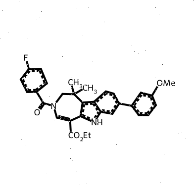 CCOC(=O)C1=CN(C(=O)c2ccc(F)cc2)CC(C)(C)c2c1[nH]c1cc(-c3cccc(OC)c3)ccc21